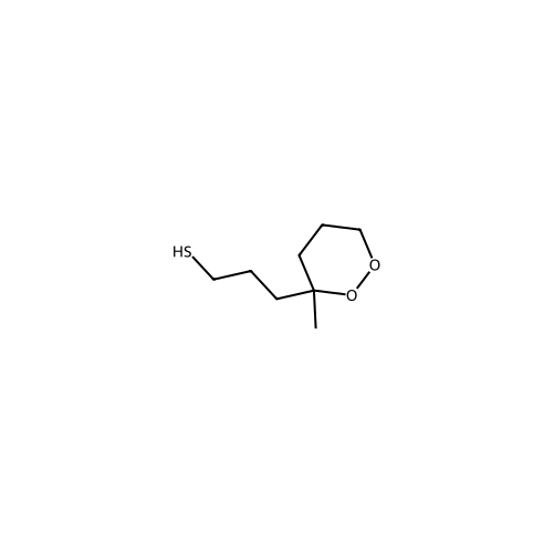 CC1(CCCS)CCCOO1